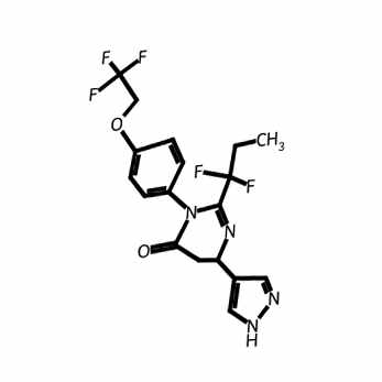 CCC(F)(F)C1=NC(c2cn[nH]c2)CC(=O)N1c1ccc(OCC(F)(F)F)cc1